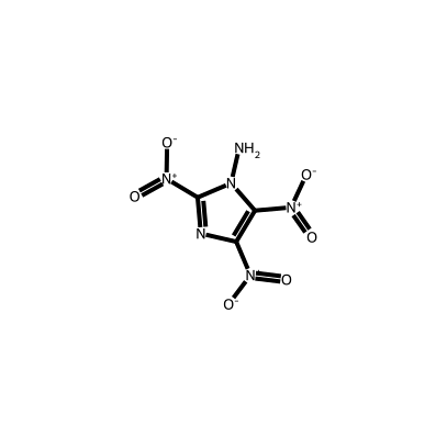 Nn1c([N+](=O)[O-])nc([N+](=O)[O-])c1[N+](=O)[O-]